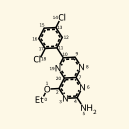 CCOc1nc(N)nc2ncc(-c3cc(Cl)ccc3Cl)nc12